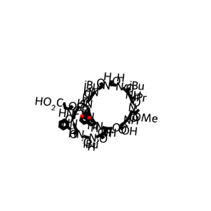 C=C1NC(=O)[C@H]([C@@H](C)CC)NC(=O)[C@@H]2CSSC[C@@H](NC(=O)CCC(=O)O)C(=O)N[C@@H](Cc3ccccc3)C(=O)N[C@@H](C)C(=O)N[C@@H](C[C@H](C)CC)C(=O)N[C@@H](C(=O)N[C@@H](Cc3ccccc3)C(=O)N3CCC[C@H]3C(=O)N2)[C@@H](C)OC(=O)[C@H](CO)NC(=O)[C@H]([C@@H](C)OC)N(C)C(=O)C(C(C)C)NC(=O)[C@H](C[C@@H](C)CC)NC1=O